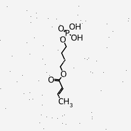 CC=CC(=O)OCCCCOP(=O)(O)O